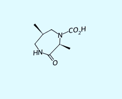 C[C@@H]1CNC(=O)[C@H](C)N(C(=O)O)C1